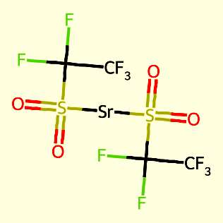 O=[S](=O)([Sr][S](=O)(=O)C(F)(F)C(F)(F)F)C(F)(F)C(F)(F)F